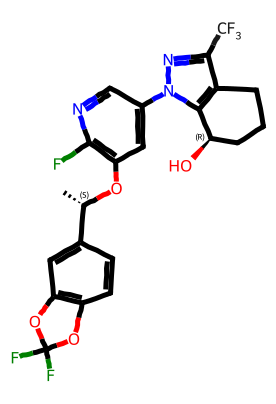 C[C@H](Oc1cc(-n2nc(C(F)(F)F)c3c2[C@H](O)CCC3)cnc1F)c1ccc2c(c1)OC(F)(F)O2